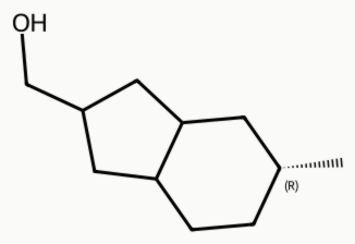 C[C@@H]1CCC2CC(CO)CC2C1